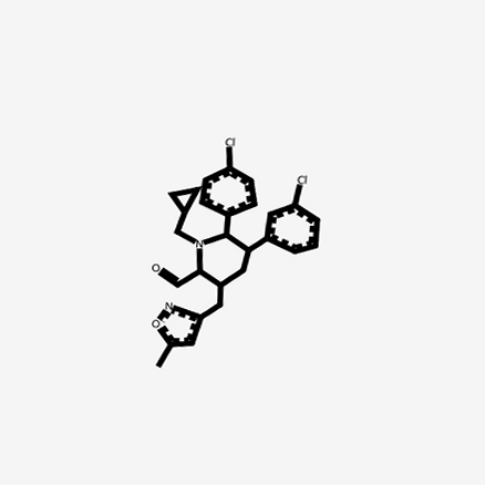 Cc1cc(CC2CC(c3cccc(Cl)c3)C(c3ccc(Cl)cc3)N(CC3CC3)C2C=O)no1